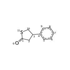 O=C1CC(c2ccccc2)CS1